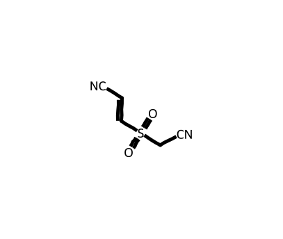 N#CC=CS(=O)(=O)CC#N